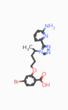 CC(CCCOc1cc(Br)ccc1C(=O)O)n1cnnc1-c1cccc(N)n1